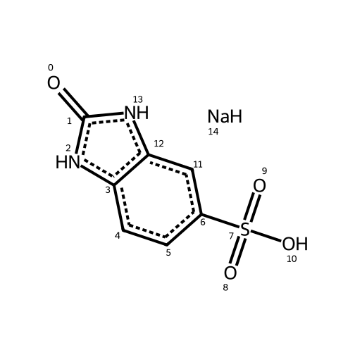 O=c1[nH]c2ccc(S(=O)(=O)O)cc2[nH]1.[NaH]